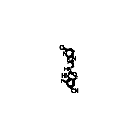 N#Cc1cc(F)c(NC(=O)NCc2nc3ccc(Cl)nc3s2)c(F)c1